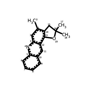 Cc1cc2nc3ccccc3cc2c2c1CC(C)(C)O2